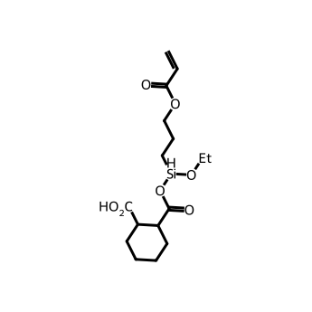 C=CC(=O)OCCC[SiH](OCC)OC(=O)C1CCCCC1C(=O)O